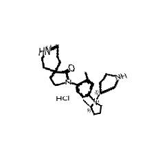 Cc1cc([N+]2([C@H]3CCNC3)CCC[C@H]2C)ccc1N1CCC2(CCNCC2)C1=O.Cl